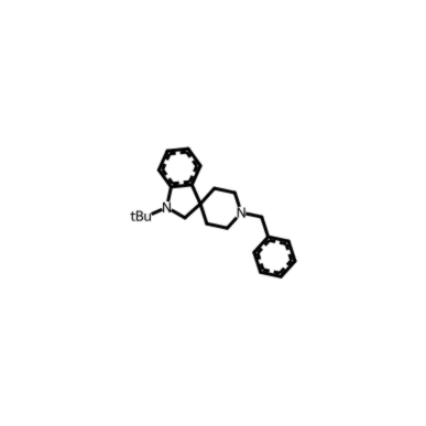 CC(C)(C)N1CC2(CCN(Cc3ccccc3)CC2)c2ccccc21